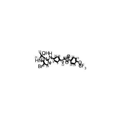 C[C@@H](Nc1nc(Nc2ccc(/S(C)=N/S(=O)(=O)c3ccc(OC(F)(F)F)cc3)cc2)ncc1Br)C(C)(C)O